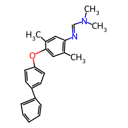 Cc1cc(Oc2ccc(-c3ccccc3)cc2)c(C)cc1/N=C/N(C)C